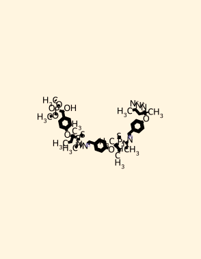 CCC[C@](C)(N=[N+]=[N-])Oc1ccc(/C=N/N(C)[PH](=S)C(C)(CC)Oc2ccc(/C=N/N(C)[PH](=S)C(C)(CC)Oc3ccc(C(O)P(=O)(OC)OC)cc3)cc2)cc1